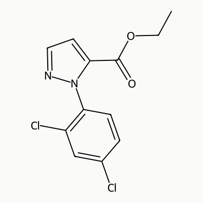 CCOC(=O)c1ccnn1-c1ccc(Cl)cc1Cl